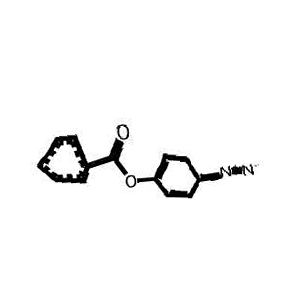 [N-]=[N+]=C1C=CC(OC(=O)c2ccccc2)=CC1